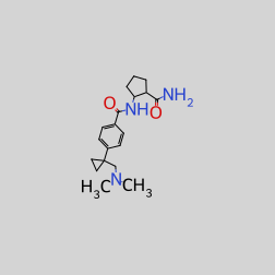 CN(C)CC1(c2ccc(C(=O)NC3CCCC3C(N)=O)cc2)CC1